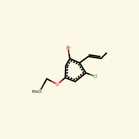 C/C=C/c1c(Cl)cc(OCOC)cc1Br